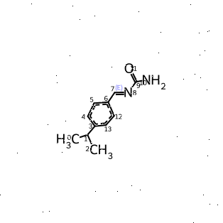 CC(C)c1ccc(/C=N/C(N)=O)cc1